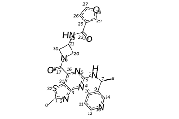 Cc1nc2nc(N[C@@H](C)c3cccnc3)nc(C(=O)N3CC(NC(=O)c4ccoc4)C3)c2s1